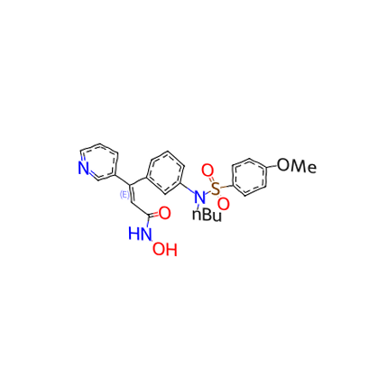 CCCCN(c1cccc(/C(=C\C(=O)NO)c2cccnc2)c1)S(=O)(=O)c1ccc(OC)cc1